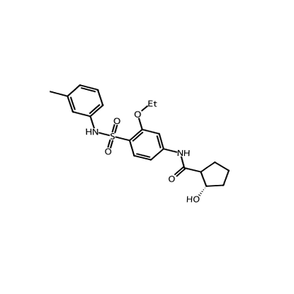 CCOc1cc(NC(=O)C2CCC[C@@H]2O)ccc1S(=O)(=O)Nc1cccc(C)c1